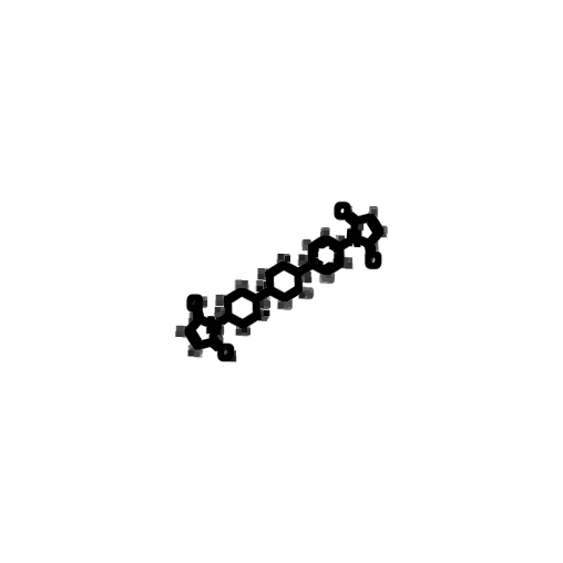 O=C1C=CC(=O)N1c1ccc(C2CCC(C3CCC(N4C(=O)C=CC4=O)CC3)CC2)cc1